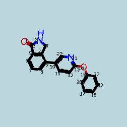 O=C1NCc2c1cccc2-c1ccc(Oc2ccccc2)nc1